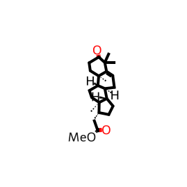 COC(=O)C[C@H]1CC[C@H]2[C@@H]3CC=C4C(C)(C)C(=O)CC[C@]4(C)[C@H]3CC[C@]12C